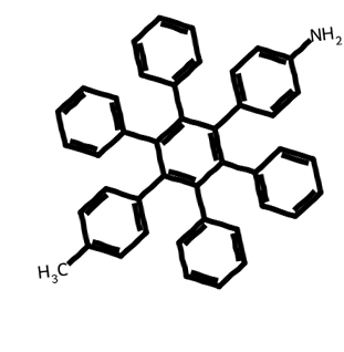 Cc1ccc(-c2c(-c3ccccc3)c(-c3ccccc3)c(-c3ccc(N)cc3)c(-c3ccccc3)c2-c2ccccc2)cc1